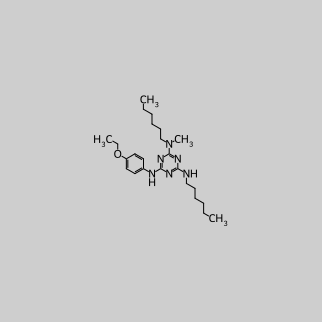 CCCCCCNc1nc(Nc2ccc(OCC)cc2)nc(N(C)CCCCCC)n1